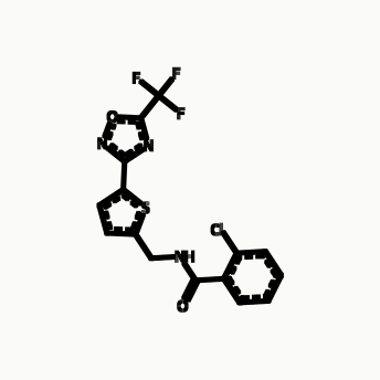 O=C(NCc1ccc(-c2noc(C(F)(F)F)n2)s1)c1ccccc1Cl